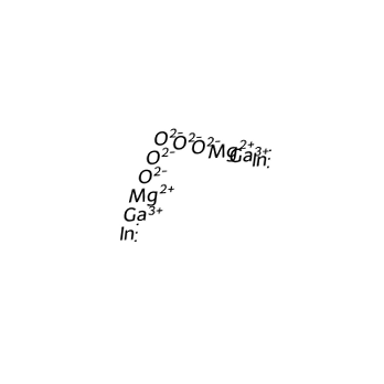 [Ga+3].[Ga+3].[In].[In].[Mg+2].[Mg+2].[O-2].[O-2].[O-2].[O-2].[O-2]